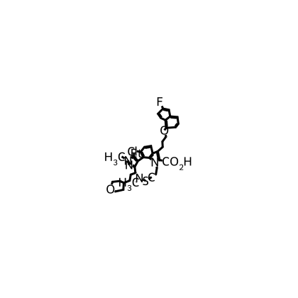 CCc1c2c(nn1C)C(CCC1CCOCC1)N(C)SCCCn1c(C(=O)O)c(CCCOc3cccc4cc(F)ccc34)c3ccc(Cl)c-2c31